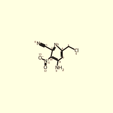 N#Cc1nc(CCl)cc(N)c1[N+](=O)[O-]